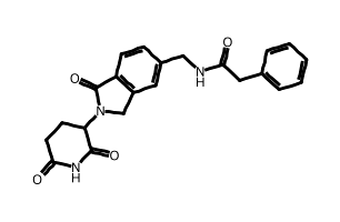 O=C(Cc1ccccc1)NCc1ccc2c(c1)CN(C1CCC(=O)NC1=O)C2=O